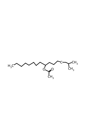 CCCCCCCCC(CCCCCC(C)C)OC(C)=O